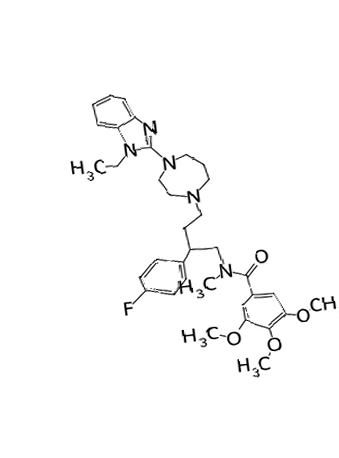 CCn1c(N2CCCN(CCC(CN(C)C(=O)c3cc(OC)c(OC)c(OC)c3)c3ccc(F)cc3)CC2)nc2ccccc21